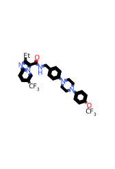 CCc1nc2ccc(C(F)(F)F)cn2c1C(=O)NCc1ccc(N2CCN(c3ccc(OC(F)(F)F)cc3)CC2)cc1